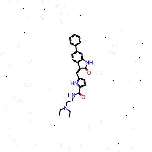 CCN(CC)CCNC(=O)c1ccc(C=C2C(=O)Nc3cc(-c4ccccc4)ccc32)[nH]1